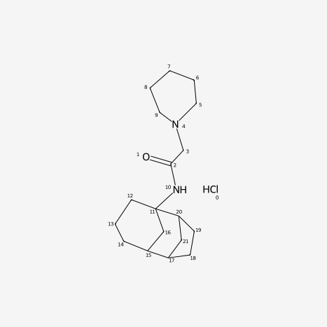 Cl.O=C(CN1CCCCC1)NC12CCCC(C1)C1CCC2C1